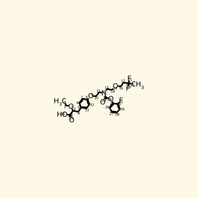 CCOC(Cc1ccc(OCCN(CCOCCC(C)(F)F)C(=O)Oc2ccccc2F)cc1)C(=O)O